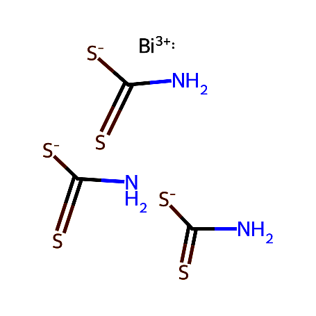 NC(=S)[S-].NC(=S)[S-].NC(=S)[S-].[Bi+3]